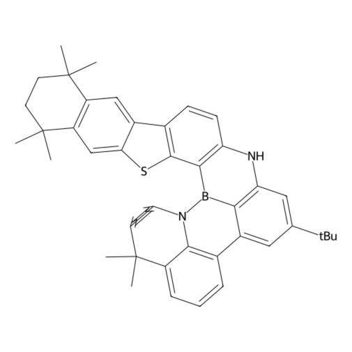 CC(C)(C)c1cc2c3c(c1)-c1cccc4c1N(B3c1c(ccc3c1sc1cc5c(cc13)C(C)(C)CCC5(C)C)N2)c1ccccc1C4(C)C